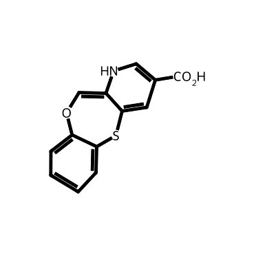 O=C(O)c1c[nH]c2coc3ccccc3sc-2c1